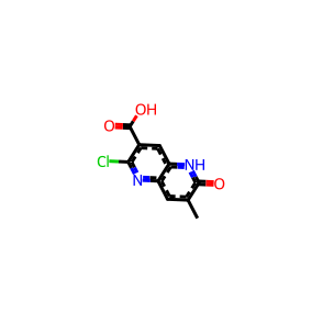 Cc1cc2nc(Cl)c(C(=O)O)cc2[nH]c1=O